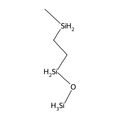 C[SiH2]CC[SiH2]O[SiH3]